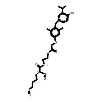 Cc1cc(OCC(=O)OCCNC(=O)[C@H](CCCCN=O)N=O)cc(C)c1Cc1ccc(O)c(C(C)C)c1